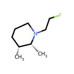 C[C@@H]1CCCN(CCF)[C@@H]1C